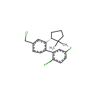 CC1(C)CCC[C@H]1c1cc(CCl)ccc1-c1cc(F)ccc1F